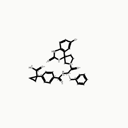 O=C1Nc2ccc(Cl)cc2C2(CCN(C(=O)[C@H](Cc3ccccc3)NC(=O)c3ccc(C4(C(=O)O)CC4)cc3)C2)O1